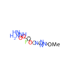 COC1CN(c2ncc(N3CCC(Oc4cccc(COC(=O)NC(=N)N)c4F)CC3)cn2)C1